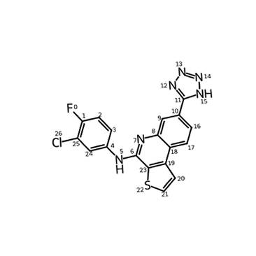 Fc1ccc(Nc2nc3cc(-c4nnn[nH]4)ccc3c3ccsc23)cc1Cl